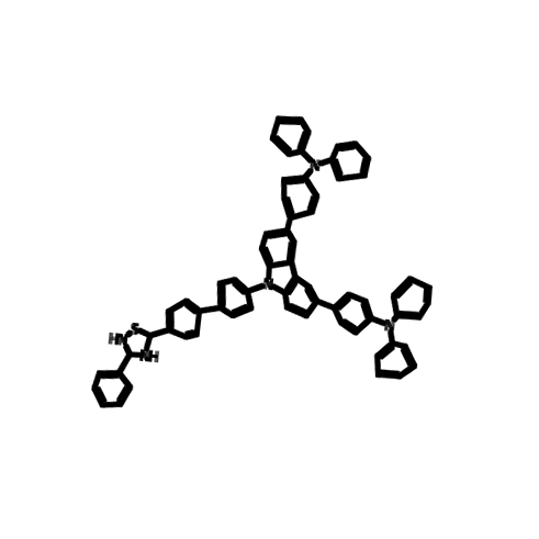 c1ccc(C2NSC(c3ccc(-c4ccc(-n5c6ccc(-c7ccc(N(c8ccccc8)c8ccccc8)cc7)cc6c6cc(-c7ccc(N(c8ccccc8)c8ccccc8)cc7)ccc65)cc4)cc3)N2)cc1